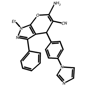 CCn1nc(-c2ccccc2)c2c1OC(N)=C(C#N)C2c1ccc(-n2ccnc2)cc1